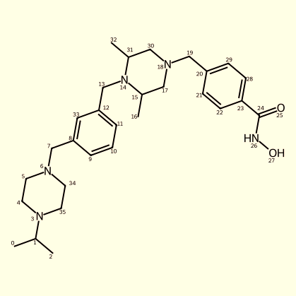 CC(C)N1CCN(Cc2cccc(CN3C(C)CN(Cc4ccc(C(=O)NO)cc4)CC3C)c2)CC1